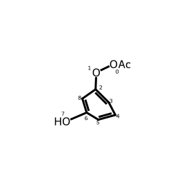 CC(=O)OOc1cccc(O)c1